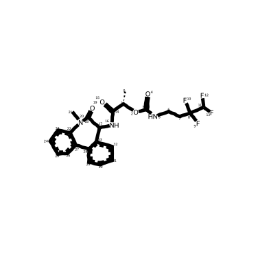 C[C@H](OC(=O)NCCC(F)(F)C(F)F)C(=O)NC1C(=O)N(C)c2ccccc2-c2ccccc21